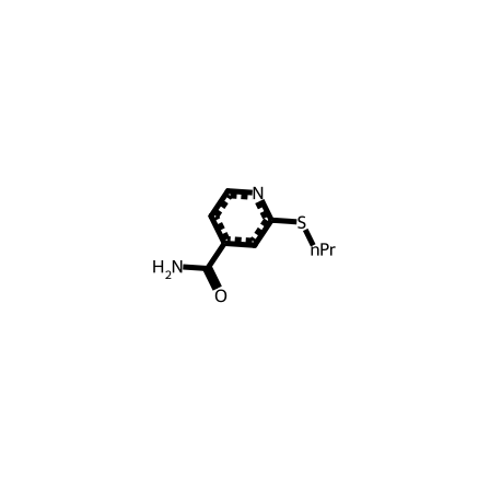 CCCSc1cc(C(N)=O)ccn1